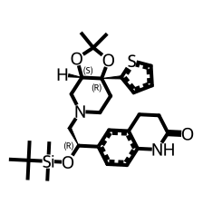 CC1(C)O[C@H]2CN(C[C@H](O[Si](C)(C)C(C)(C)C)c3ccc4c(c3)CCC(=O)N4)CC[C@@]2(c2cccs2)O1